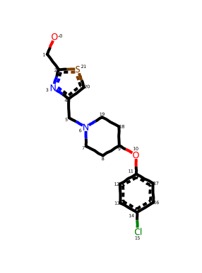 [O]Cc1nc(CN2CCC(Oc3ccc(Cl)cc3)CC2)cs1